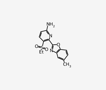 CCS(=O)(=O)c1ccc(N)nc1-c1nc2cc(C)ccc2o1